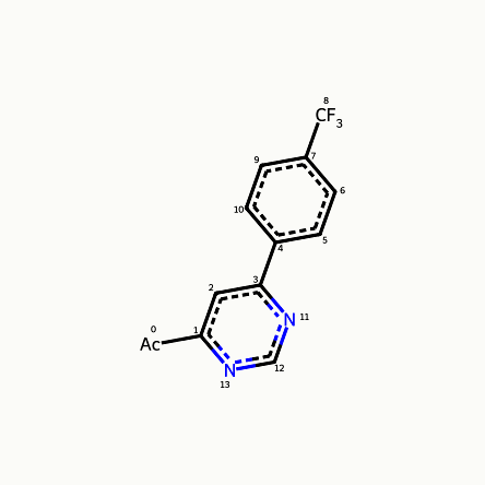 CC(=O)c1cc(-c2ccc(C(F)(F)F)cc2)ncn1